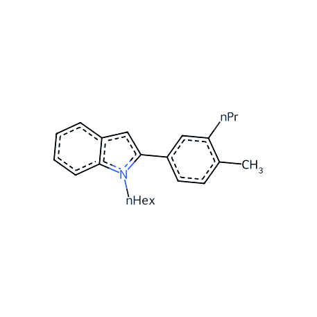 CCCCCCn1c(-c2ccc(C)c(CCC)c2)cc2ccccc21